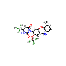 Cc1ccccc1Oc1cc(-n2c(=O)cc(C(F)(F)F)[nH]c2=O)c(OC(F)(F)F)cc1C#N